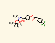 CN(CC(O)c1ccc(OC(=O)Cc2ccc(C(F)(F)F)cc2)cc1)C(=O)OC(C)(C)C